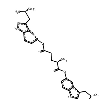 N[C@H](Cc1c[nH]c2ccc(OC(=O)CC[C@@H](N)C(=O)Oc3ccc4[nH]cc(C[C@@H](N)C(=O)O)c4c3)cc12)C(=O)O